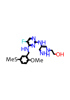 COc1ccc(SC)cc1CNc1nc(N/C(C=N)=C/NCCO)ncc1F